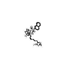 CC1(C)[C@H]2C[C@H](C/C=C\CCCc3nnn[nH]3)[C@@H](NS(=O)(=O)c3ccc4ccccc4c3)[C@@H]1C2